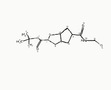 CC(C)(C)OC(=O)N1CC2CC(C(=O)NCCl)CC2C1